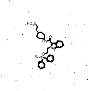 CC(C)(C)[Si](OCCn1nc2ccccc2c1C(=O)N[C@H]1CC[C@H](CCS(=O)(=O)O)CC1)(c1ccccc1)c1ccccc1